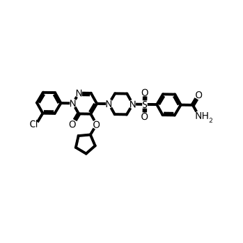 NC(=O)c1ccc(S(=O)(=O)N2CCN(c3cnn(-c4cccc(Cl)c4)c(=O)c3OC3CCCC3)CC2)cc1